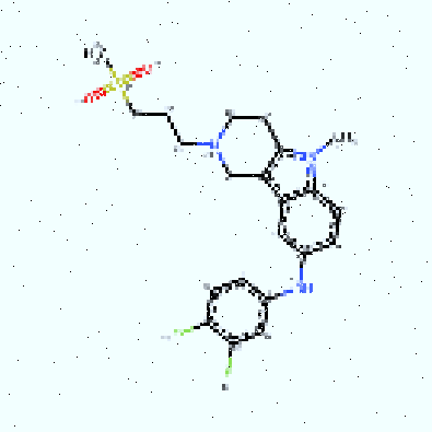 Cn1c2c(c3cc(Nc4ccc(F)c(F)c4)ccc31)CN(CCCS(C)(=O)=O)CC2